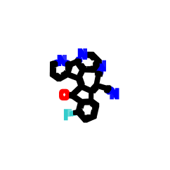 N#CC(C#N)=C1C(=C2c3cccnc3-c3ncccc32)C(=O)c2c(F)cccc21